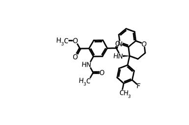 COC(=O)c1ccc(C(=O)N[C@]2(c3ccc(C)c(F)c3)CCOc3cccnc32)cc1NC(C)=O